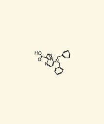 O=C(O)c1cnn2c(N(Cc3ccccc3)Cc3ccccc3)ccnc12